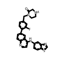 O=C1CNCCN1Cc1ccc(-c2ccc3nccc(Nc4ccc5scnc5c4)c3c2)c(F)c1